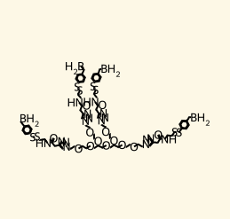 BCc1ccc(SSCCNC(=O)Cc2cn(CCOCCOCC(COCC(COCCOCCn3cc(CC(=O)NCCSSc4ccc(CB)cc4)nn3)OCCOCCn3cc(CC(=O)NCCSSc4ccc(CB)cc4)nn3)OCCOCCn3cc(CC(=O)NCCSSc4ccc(CB)cc4)nn3)nn2)cc1